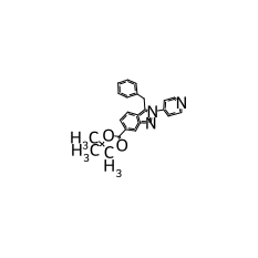 CC(C)(C)OC(=O)c1ccc2c(Cc3ccccc3)n(-c3ccncc3)nc2c1